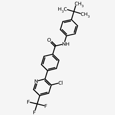 CC(C)(C)c1ccc(NC(=O)c2ccc(-c3ncc(C(F)(F)F)cc3Cl)cc2)cc1